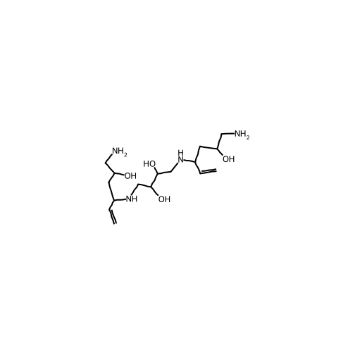 C=CC(CC(O)CN)NCC(O)C(O)CNC(C=C)CC(O)CN